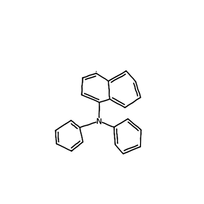 [c]1ccc(N(c2ccccc2)c2ccccc2)c2ccccc12